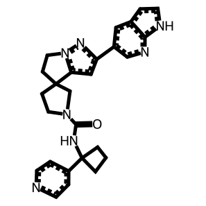 O=C(NC1(c2ccncc2)CCC1)N1CCC2(CCn3nc(-c4cnc5[nH]ccc5c4)cc32)C1